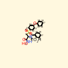 O=C(NO)C(CS(=O)(=O)c1ccc(Oc2ccccc2)cc1)N(Cc1ccccc1)C(=O)O